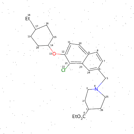 CCOC(=O)C1CCN(Cc2ccc3ccc(OC4CCC(CC)CC4)c(Cl)c3c2)CC1